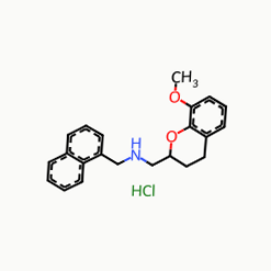 COc1cccc2c1OC(CNCc1cccc3ccccc13)CC2.Cl